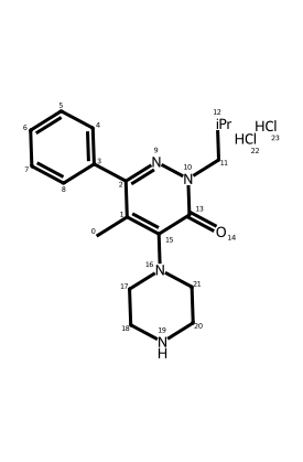 Cc1c(-c2ccccc2)nn(CC(C)C)c(=O)c1N1CCNCC1.Cl.Cl